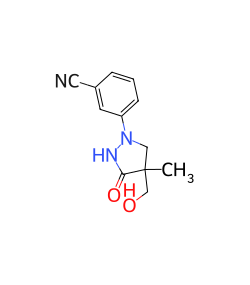 CC1(CO)CN(c2cccc(C#N)c2)NC1=O